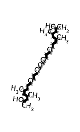 CC(O)CC(C)CC(C)CCCOCCCOCOCOCCCOCCCC(C)CC(C)CC(C)O